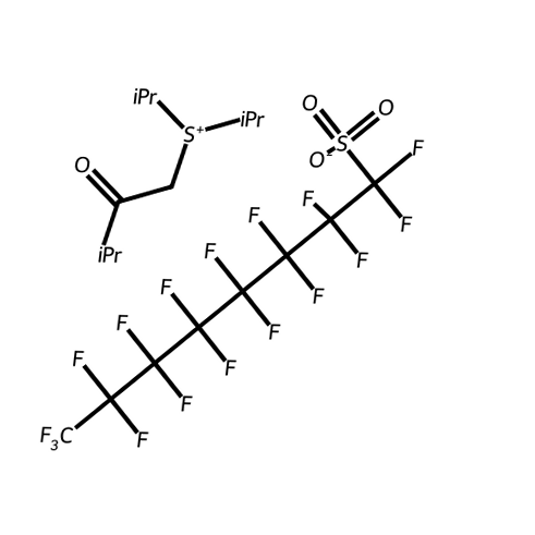 CC(C)C(=O)C[S+](C(C)C)C(C)C.O=S(=O)([O-])C(F)(F)C(F)(F)C(F)(F)C(F)(F)C(F)(F)C(F)(F)C(F)(F)C(F)(F)F